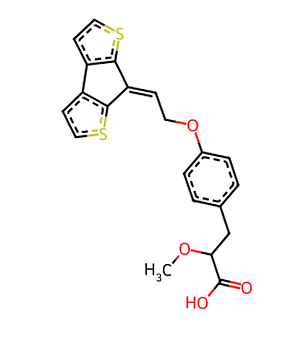 COC(Cc1ccc(OCC=C2c3sccc3-c3ccsc32)cc1)C(=O)O